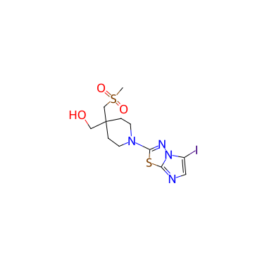 CS(=O)(=O)CC1(CO)CCN(c2nn3c(I)cnc3s2)CC1